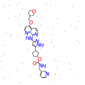 O=C(NCc1cccnc1)OC1CCC(c2cc(Nc3nccc4c(OCC5CCOC5)ccnc34)n[nH]2)C1